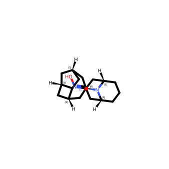 O/N=C1/C[C@H]2CCC[C@@H](C1)N2[C@@H]1C[C@@H]2CC3[C@@H](C2)C[C@H]3C1